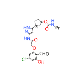 CC(C)NC(=O)O[C@@H]1CC[C@H](c2cc(NC(=O)COc3cc(Cl)cc(O)c3C=O)n[nH]2)C1